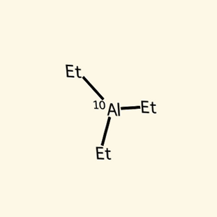 C[CH2][10Al]([CH2]C)[CH2]C